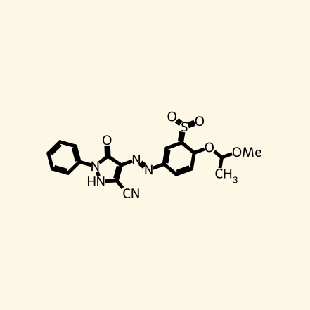 COC(C)OC1C=CC(N=Nc2c(C#N)[nH]n(-c3ccccc3)c2=O)=CC1=S(=O)=O